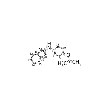 CC(C)Oc1ccc(Nc2nc3ccccc3s2)cc1